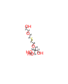 OCCOCCSCCOCC(CO)(CO)CO